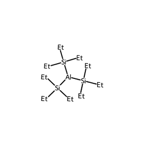 CC[Si](CC)(CC)[Al]([Si](CC)(CC)CC)[Si](CC)(CC)CC